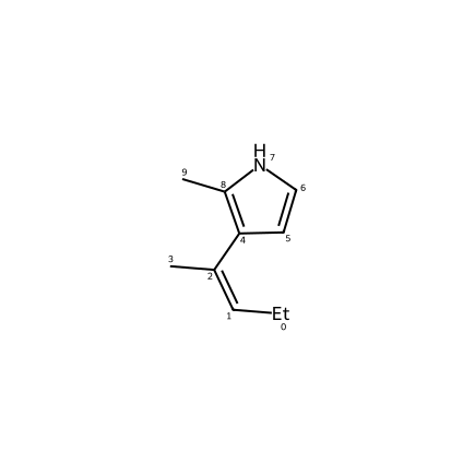 CC/C=C(/C)c1cc[nH]c1C